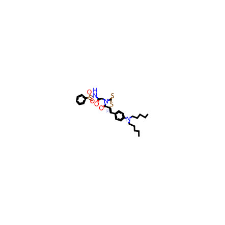 CCCCCN(CCCCC)c1ccc(/C=C2\SC(=S)N(CC(=O)NS(=O)(=O)c3ccccc3)C2=O)cc1